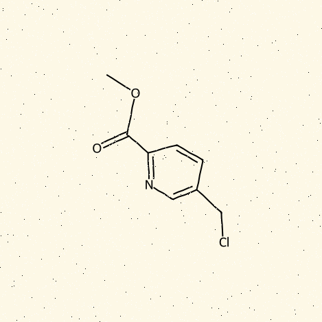 COC(=O)c1ccc(CCl)cn1